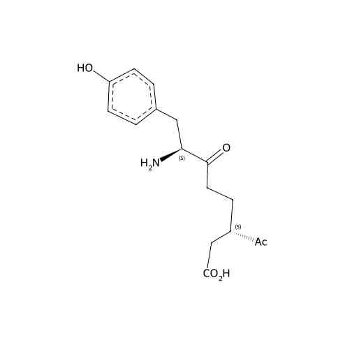 CC(=O)[C@@H](CCC(=O)[C@@H](N)Cc1ccc(O)cc1)CC(=O)O